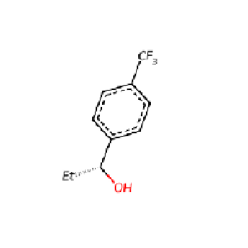 CC[C@@H](O)c1ccc(C(F)(F)F)cc1